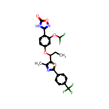 CCC(Oc1ccc(-c2noc(=O)[nH]2)c(OC(F)F)c1)c1sc(-c2ccc(C(F)(F)F)cc2)nc1C